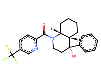 O=C(c1ccc(C(F)(F)F)cn1)N1CC[C@](O)(c2ccccc2)[C@H]2CCCC[C@H]21